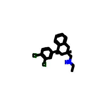 CCNC[C@@H]1Cc2ccccc2[C@H](c2ccc(Cl)c(Cl)c2)C1